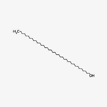 [CH2]CCCCCCCCCCCCCCCCCCCCCCCCCCCCCCCCCCCCCO